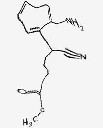 COC(=O)CCC(C#N)c1ccccc1N